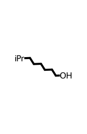 [CH2]C(C)CCCCCCO